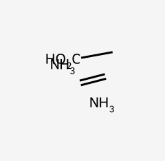 C=C.CC(=O)O.N.N